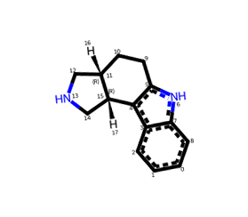 c1ccc2c3c([nH]c2c1)CC[C@H]1CNC[C@@H]31